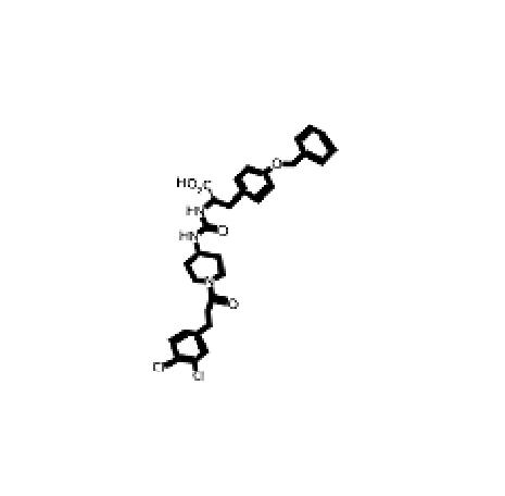 O=C(NC1CCN(C(=O)CCc2ccc(Cl)c(Cl)c2)CC1)N[C@@H](Cc1ccc(OCc2ccccc2)cc1)C(=O)O